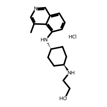 Cc1cncc2cccc(N[C@H]3CC[C@H](NCCO)CC3)c12.Cl